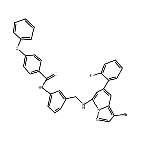 O=C(Nc1cccc(CNc2cc(-c3ccccc3Cl)nc3c(Br)cnn23)c1)c1ccc(Oc2ccccc2)cc1